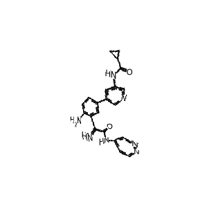 N=C(C(=O)Nc1ccnnc1)c1cc(-c2cncc(NC(=O)C3CC3)c2)ccc1N